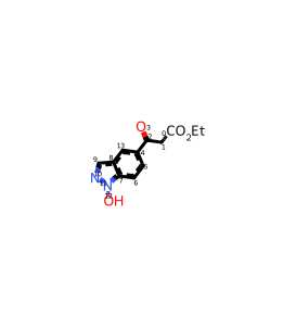 CCOC(=O)CC(=O)c1ccc2c(cnn2O)c1